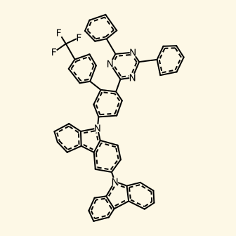 FC(F)(F)c1ccc(-c2cc(-n3c4ccccc4c4cc(-n5c6ccccc6c6ccccc65)ccc43)ccc2-c2nc(-c3ccccc3)nc(-c3ccccc3)n2)cc1